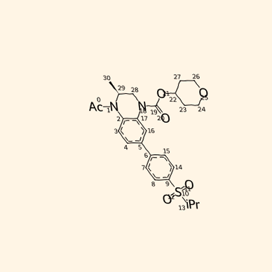 CC(=O)N1c2ccc(-c3ccc(S(=O)(=O)C(C)C)cc3)cc2N(C(=O)OC2CCOCC2)C[C@@H]1C